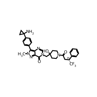 Cn1nc2c(=O)n(CC3(O)CCN(C(=O)C[C@H](c4ccccc4)C(F)(F)F)CC3)cnc2c1-c1ccc(C2(N)CC2)cc1